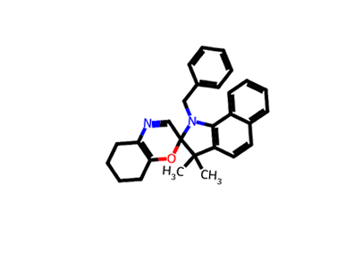 CC1(C)c2ccc3ccccc3c2N(Cc2ccccc2)C12C=NC1=C(CCCC1)O2